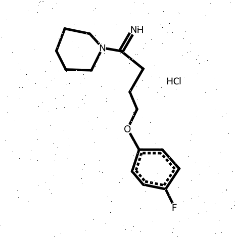 Cl.N=C(CCCOc1ccc(F)cc1)N1CCCCC1